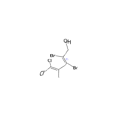 CC(=C(Cl)Cl)/C(Br)=C(\Br)CO